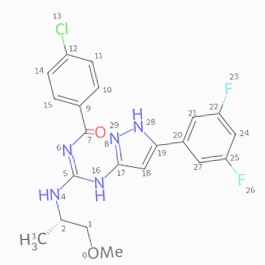 COC[C@H](C)N/C(=N/C(=O)c1ccc(Cl)cc1)Nc1cc(-c2cc(F)cc(F)c2)[nH]n1